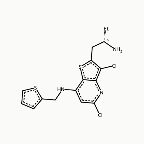 CC[C@H](N)Cc1sc2c(NCc3cccs3)cc(Cl)nc2c1Cl